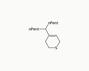 CCCCCC(CCCCC)C1=CCSCC1